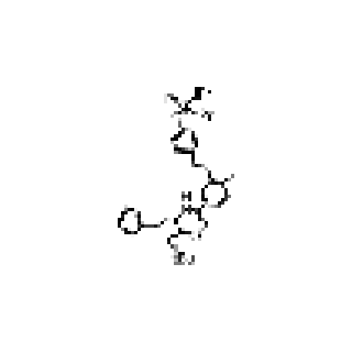 Cc1ccc(C(=O)N[C@@H](CCc2ccccc2)C(=O)OC(C)(C)C)cc1CCc1ccc(O[Si](C(C)C)(C(C)C)C(C)C)cc1